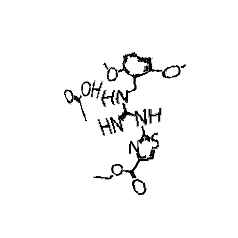 CC(=O)O.CCOC(=O)c1csc(NC(=N)NCc2c(OC)cccc2OC)n1